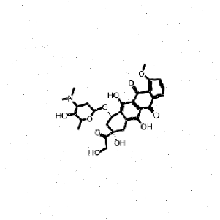 COc1cccc2c1C(=O)c1c(O)c3c(c(O)c1C2=O)C[C@@](O)(C(=O)CO)C[C@@H]3OC1CC(N(C)C)C(O)C(C)O1